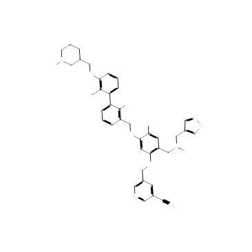 Cc1c(COc2cc(OCc3cncc(C#N)c3)c(CN(C)Cc3cn[nH]c3)cc2Cl)cccc1-c1cccc(OCC2CCCN(C)C2)c1Cl